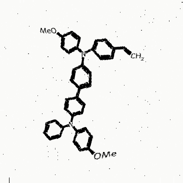 C=Cc1ccc(N(c2ccc(OC)cc2)c2ccc(-c3ccc(N(c4ccccc4)c4ccc(OC)cc4)cc3)cc2)cc1